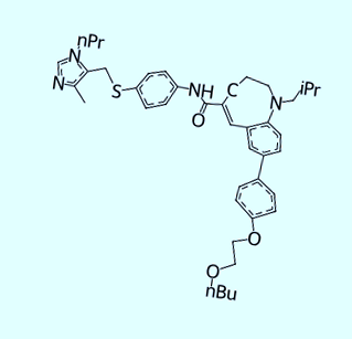 CCCCOCCOc1ccc(-c2ccc3c(c2)/C=C(/C(=O)Nc2ccc(SCc4c(C)ncn4CCC)cc2)CCCN3CC(C)C)cc1